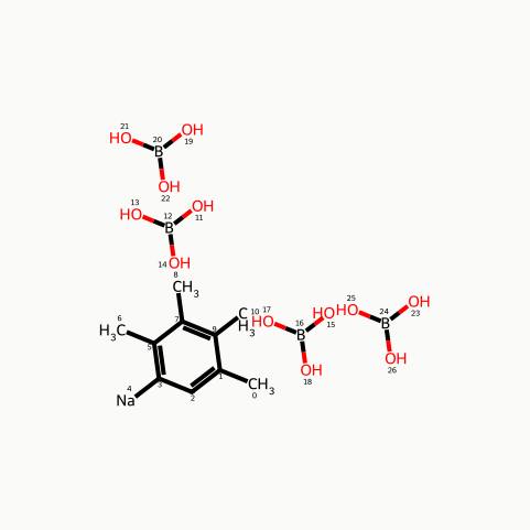 Cc1c[c]([Na])c(C)c(C)c1C.OB(O)O.OB(O)O.OB(O)O.OB(O)O